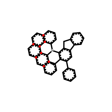 Cc1cccc(-c2ccccc2)c1N(c1ccccc1-c1ccccc1)c1c2c(cc(-c3ccccc3)c1-c1ccccc1)-c1ccccc1C2